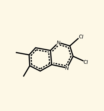 Cc1cc2nc(Cl)c(Cl)nc2cc1C